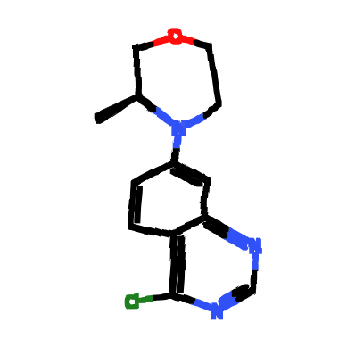 C[C@H]1COCCN1c1ccc2c(Cl)ncnc2c1